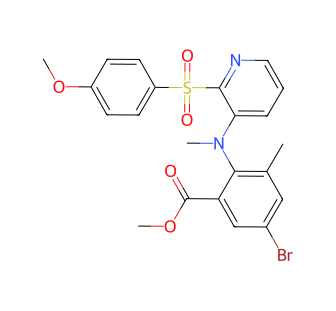 COC(=O)c1cc(Br)cc(C)c1N(C)c1cccnc1S(=O)(=O)c1ccc(OC)cc1